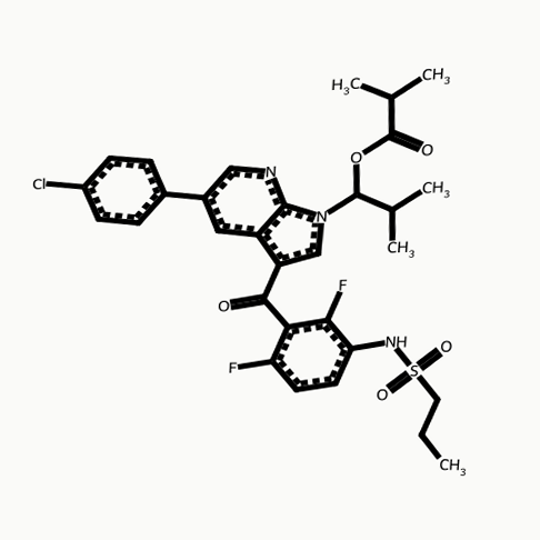 CCCS(=O)(=O)Nc1ccc(F)c(C(=O)c2cn(C(OC(=O)C(C)C)C(C)C)c3ncc(-c4ccc(Cl)cc4)cc23)c1F